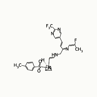 C\C(F)=C/N=C(\C=C\c1cnc(C(F)(F)F)nc1)CNC=C[C@@H]1C2CC(C2)N1S(=O)(=O)c1ccc(C)cc1